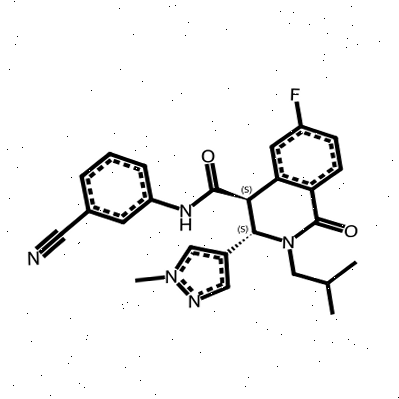 CC(C)CN1C(=O)c2ccc(F)cc2[C@H](C(=O)Nc2cccc(C#N)c2)[C@H]1c1cnn(C)c1